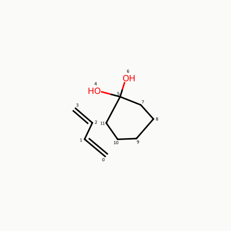 C=CC=C.OC1(O)CCCCC1